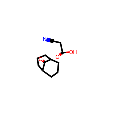 N#CCC(=O)O.O=C1C2CCCC1CCC2